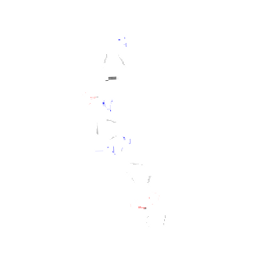 CC(=O)Oc1ccc(-c2nc3cc(N4Cc5cc(N6CCCCC6)ccc5C4=O)ccc3[nH]2)cc1